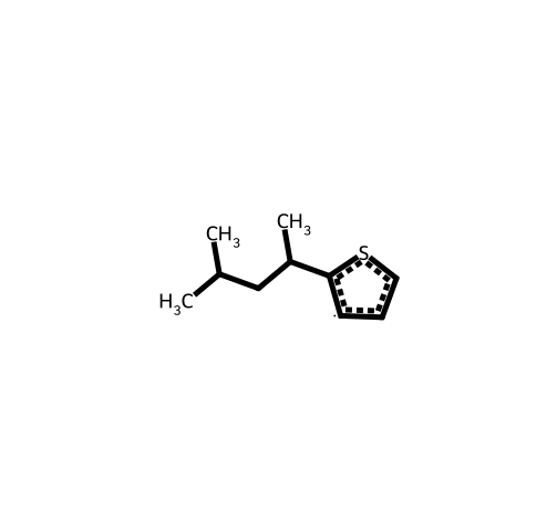 CC(C)CC(C)c1[c]ccs1